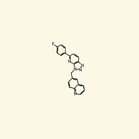 Fc1ccc(-c2ccc3nnn(Cc4ccc5ncccc5c4)c3n2)cc1